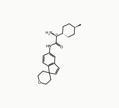 C[C@H]1CC[C@H]([C@H](N)C(=O)Nc2ccc3c(c2)C=CC32CCOCC2)CC1